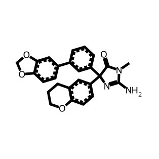 CN1C(=O)C(c2cccc(-c3ccc4c(c3)OCO4)c2)(c2ccc3c(c2)CCCO3)N=C1N